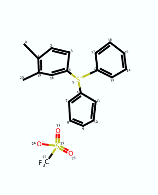 Cc1ccc([S+](c2ccccc2)c2ccccc2)cc1C.O=S(=O)([O-])C(F)(F)F